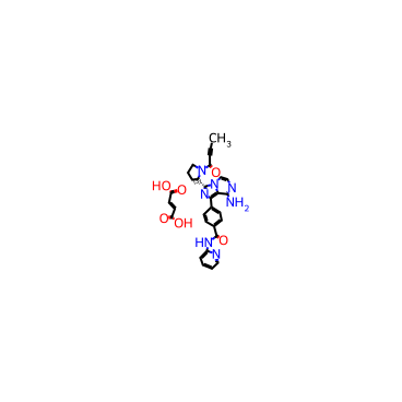 CC#CC(=O)N1CCC[C@H]1c1nc(-c2ccc(C(=O)Nc3ccccn3)cc2)c2c(N)nccn12.O=C(O)C=CC(=O)O